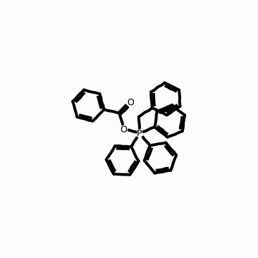 O=C(OP(Cc1ccccc1)(c1ccccc1)(c1ccccc1)c1ccccc1)c1ccccc1